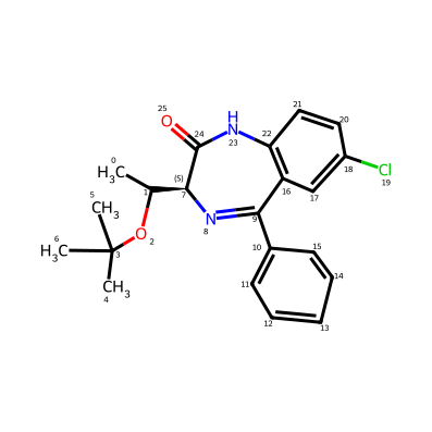 CC(OC(C)(C)C)[C@@H]1N=C(c2ccccc2)c2cc(Cl)ccc2NC1=O